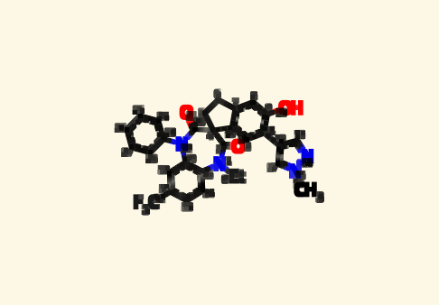 CCN1C(=O)C2(CCc3cc(O)c(-c4cnn(C)c4)cc32)C(=O)N(c2ccccc2)c2cc(C(F)(F)F)ccc21